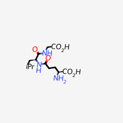 CC(C)C[C@H](NC(=O)CC[C@H](N)C(=O)O)C(=O)NCC(=O)O